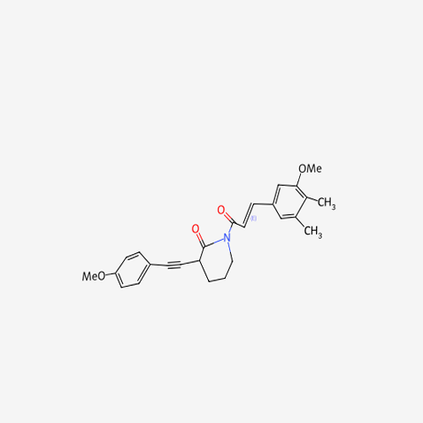 COc1ccc(C#CC2CCCN(C(=O)/C=C/c3cc(C)c(C)c(OC)c3)C2=O)cc1